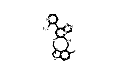 Fc1ccc2c3c1CNc1c(cc(-c4cccnc4C(F)(F)F)c4nncn14)OC[C@@H]3CO2